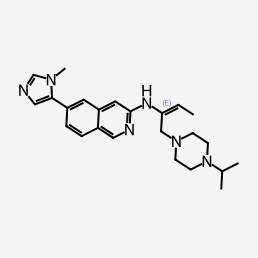 C/C=C(\CN1CCN(C(C)C)CC1)Nc1cc2cc(-c3cncn3C)ccc2cn1